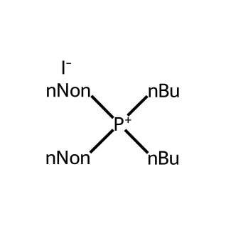 CCCCCCCCC[P+](CCCC)(CCCC)CCCCCCCCC.[I-]